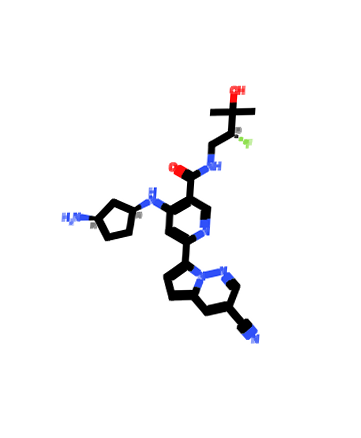 CC(C)(O)[C@H](F)CNC(=O)c1cnc(-c2ccc3cc(C#N)cnn23)cc1N[C@H]1CC[C@@H](N)C1